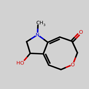 CN1CC(O)C2=C/COCC(=O)/C=C\21